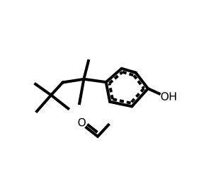 CC(C)(C)CC(C)(C)c1ccc(O)cc1.CC=O